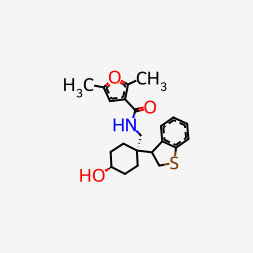 Cc1cc(C(=O)NC[C@]2(C3CSc4ccccc43)CC[C@@H](O)CC2)c(C)o1